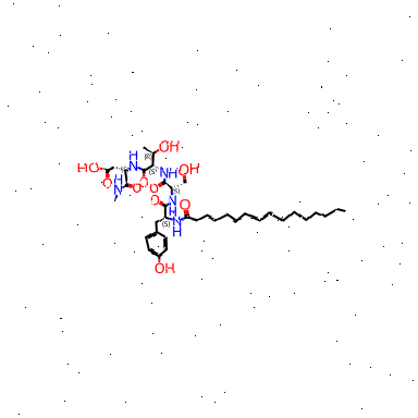 CCCCCCCCCCCCCCCC(=O)N[C@@H](Cc1ccc(O)cc1)C(=O)N[C@@H](CO)C(=O)N[C@H](C(=O)N[C@@H](CC(=O)O)C(=O)NC)[C@@H](C)O